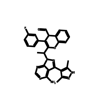 Cc1n[nH]c(C)c1-c1nn(C(C)C2=C(c3cccc(F)c3)C(C=O)c3ccccc3O2)c2ncnc(N)c12